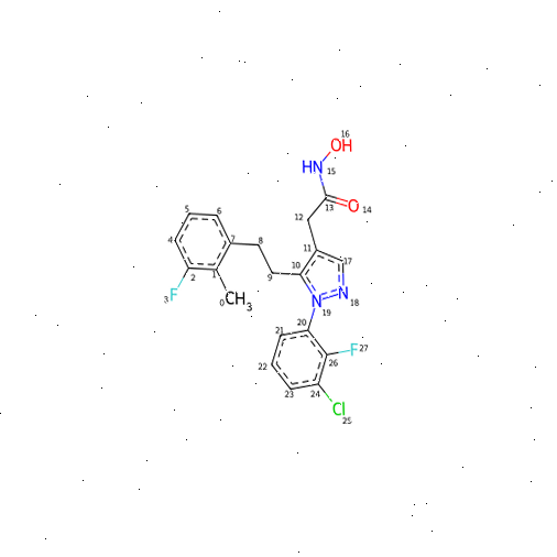 Cc1c(F)cccc1CCc1c(CC(=O)NO)cnn1-c1cccc(Cl)c1F